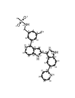 CS(=O)(=O)NCc1cc(F)cc(-c2nccc3[nH]c(-c4n[nH]c5ccc(-c6ccccn6)cc45)cc23)c1